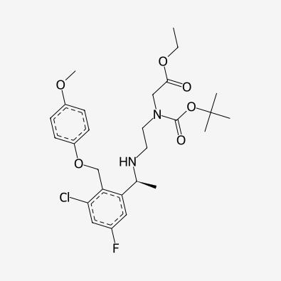 CCOC(=O)CN(CCN[C@@H](C)c1cc(F)cc(Cl)c1COc1ccc(OC)cc1)C(=O)OC(C)(C)C